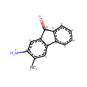 Nc1cc2c(cc1[N+](=O)[O-])-c1ccccc1C2=O